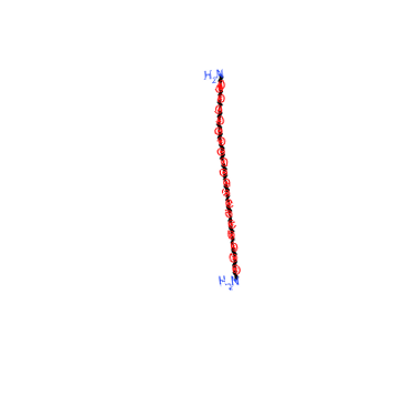 NCCOCCOCCOCCOCCOCCOCCOCCOCCOCCOCCOCCOCCOCCOCCOCCOCCOCCOOCCN